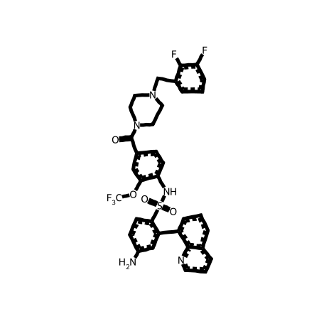 Nc1ccc(S(=O)(=O)Nc2ccc(C(=O)N3CCN(Cc4cccc(F)c4F)CC3)cc2OC(F)(F)F)c(-c2cccc3cccnc23)c1